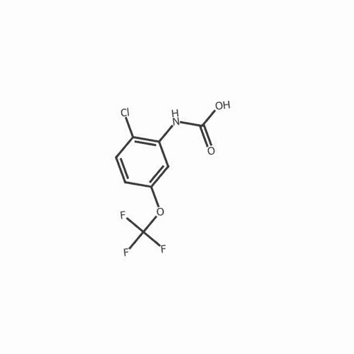 O=C(O)Nc1cc(OC(F)(F)F)ccc1Cl